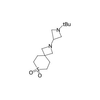 CC(C)(C)N1CC(N2CC3(CCS(=O)(=O)CC3)C2)C1